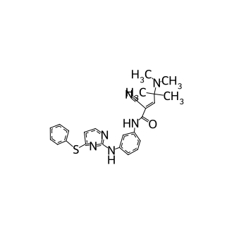 CN(C)C(C)(C)/C=C(\C#N)C(=O)Nc1cccc(Nc2nccc(Sc3ccccc3)n2)c1